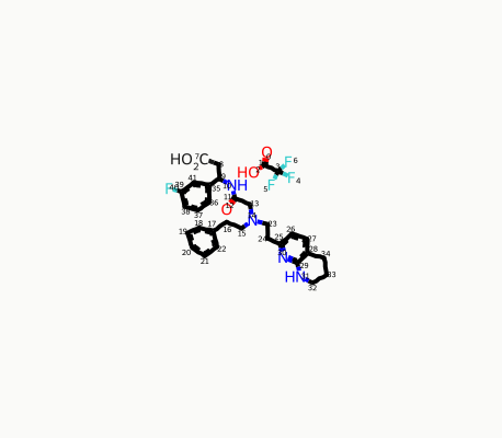 O=C(O)C(F)(F)F.O=C(O)CC(NC(=O)CN(CCc1ccccc1)CCc1ccc2c(n1)NCCC2)c1cccc(F)c1